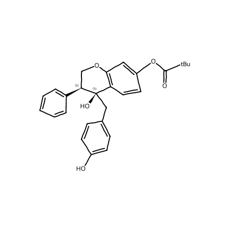 CC(C)(C)C(=O)Oc1ccc2c(c1)OC[C@H](c1ccccc1)[C@@]2(O)Cc1ccc(O)cc1